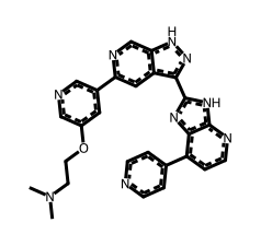 CN(C)CCOc1cncc(-c2cc3c(-c4nc5c(-c6ccncc6)ccnc5[nH]4)n[nH]c3cn2)c1